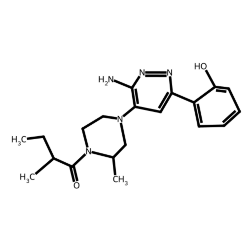 CCC(C)C(=O)N1CCN(c2cc(-c3ccccc3O)nnc2N)CC1C